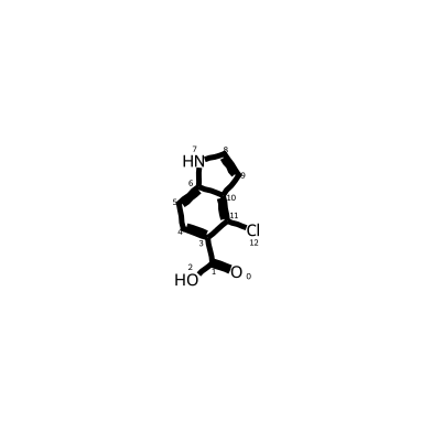 O=C(O)c1ccc2[nH]ccc2c1Cl